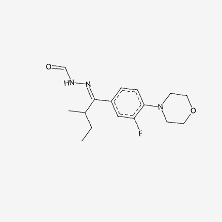 CCC(C)/C(=N\NC=O)c1ccc(N2CCOCC2)c(F)c1